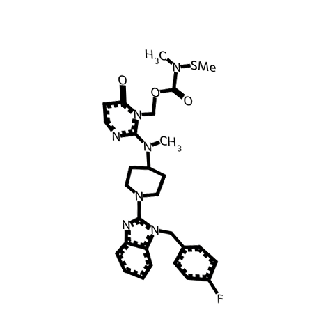 CSN(C)C(=O)OCn1c(N(C)C2CCN(c3nc4ccccc4n3Cc3ccc(F)cc3)CC2)nccc1=O